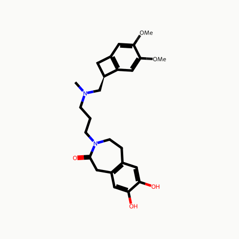 COc1cc2c(cc1OC)[C@@H](CN(C)CCCN1CCc3cc(O)c(O)cc3CC1=O)C2